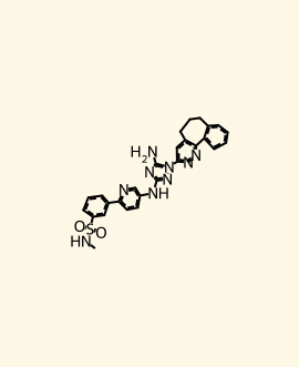 CNS(=O)(=O)c1cccc(-c2ccc(Nc3nc(N)n(-c4cc5c(nn4)-c4ccccc4CCC5)n3)cn2)c1